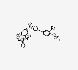 O=C1CO[C@H]2CCN(C(=O)N3CC(c4ccc(OC(F)(F)F)c(Br)c4)C3)C[C@H]2N1